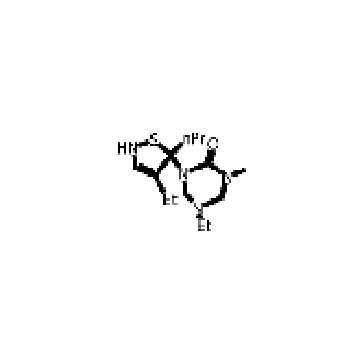 CCCC1(N2CN(CC)CN(C)C2=O)SNC=C1CC